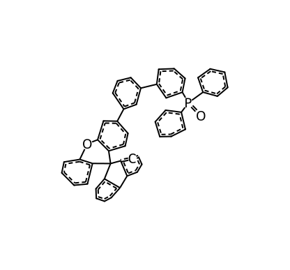 O=P(c1ccccc1)(c1ccccc1)c1cccc(-c2cccc(-c3ccc4c(c3)Oc3ccccc3C43c4ccccc4-c4ccccc43)c2)c1